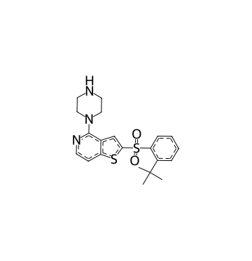 CC(C)(C)c1ccccc1S(=O)(=O)c1cc2c(N3CCNCC3)nccc2s1